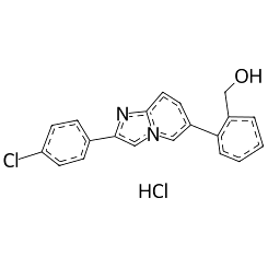 Cl.OCc1ccccc1-c1ccc2nc(-c3ccc(Cl)cc3)cn2c1